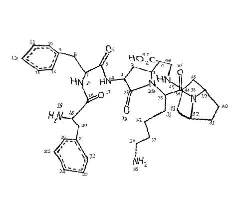 CC1CC(NC(=O)C(Cc2ccccc2)NC(=O)C(N)Cc2ccccc2)C(=O)N1C(CCCCN)C(=O)N1C2CCC1CC(NCC(=O)O)C2